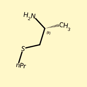 CCCSC[C@@H](C)N